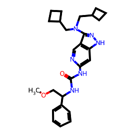 COCC(NC(=O)Nc1cc2[nH]nc(N(CC3CCC3)CC3CCC3)c2cn1)c1ccccc1